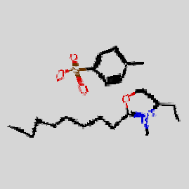 CCCCCCCCC1=[N+](C)C(CC)CO1.Cc1ccc(S(=O)(=O)[O-])cc1